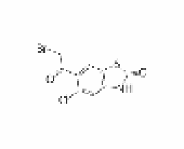 O=C(CBr)c1cc2sc(=O)[nH]c2cc1Cl